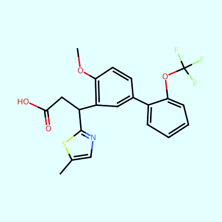 COc1ccc(-c2ccccc2OC(F)(F)F)cc1C(CC(=O)O)c1ncc(C)s1